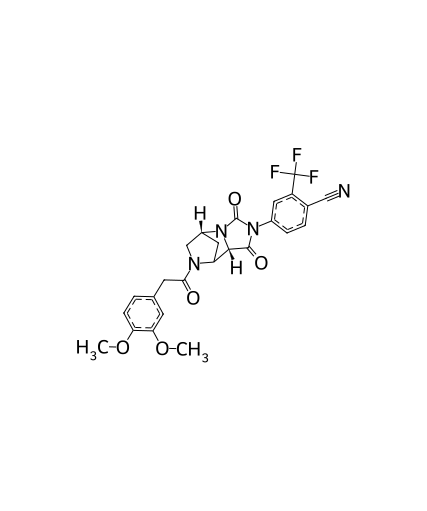 COc1ccc(CC(=O)N2C[C@H]3CC2[C@H]2C(=O)N(c4ccc(C#N)c(C(F)(F)F)c4)C(=O)N32)cc1OC